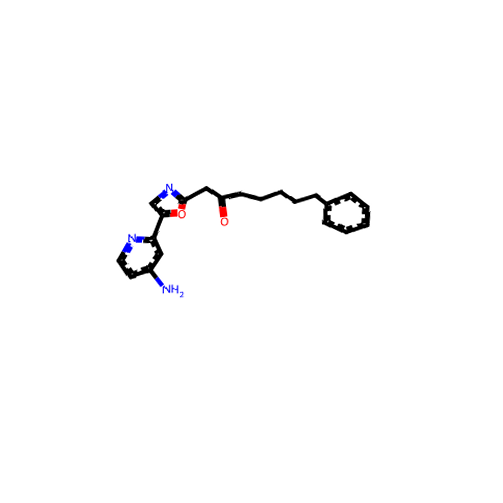 Nc1ccnc(-c2cnc(CC(=O)CCCCCc3ccccc3)o2)c1